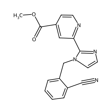 COC(=O)c1ccnc(-c2nccn2Cc2ccccc2C#N)c1